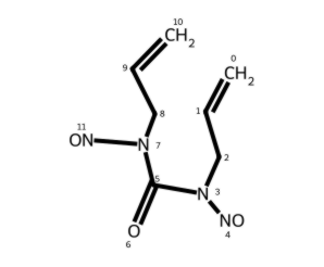 C=CCN(N=O)C(=O)N(CC=C)N=O